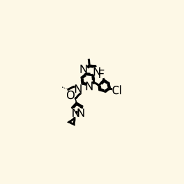 Cc1cnc2c(-c3ccc(Cl)cc3F)nc(N3C[C@@H](C)O[C@H](c4cnn(C5CC5)c4)C3)cc2n1